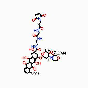 COc1cccc2c1C(=O)c1c(O)c3c(c(O)c1C2=O)C[C@@](O)(C(=O)NCCNC(=O)CNC(=O)CCN1C(=O)C=CC1=O)C[C@@H]3O[C@H]1C[C@H]2[C@H](O[C@@H]3[C@@H](OC)OCCN32)[C@H](C)O1